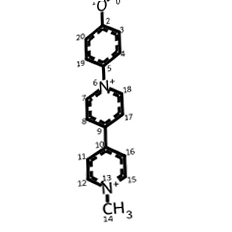 COc1ccc(-[n+]2ccc(-c3cc[n+](C)cc3)cc2)cc1